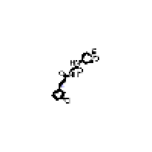 O=C(/C=C/c1cccc(Cl)c1)NCC(=O)NC1CCS(=O)(=O)CC1